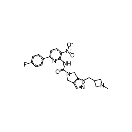 CN1CC(Cn2ncc3c2CN(C(=O)Nc2nc(-c4ccc(F)cc4)ccc2[N+](=O)[O-])C3)C1